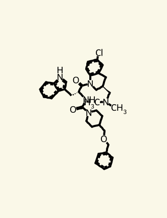 CN(C)C[C@@H]1Cc2cc(Cl)ccc2N(C(=O)[C@@H](Cc2c[nH]c3ccccc23)NC(=O)N2CCC(COCc3ccccc3)CC2)C1